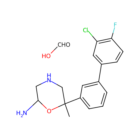 CC1(c2cccc(-c3ccc(F)c(Cl)c3)c2)CNCC(N)O1.O=CO